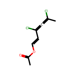 CC(=O)OC=CC(Cl)=C=C(C)Cl